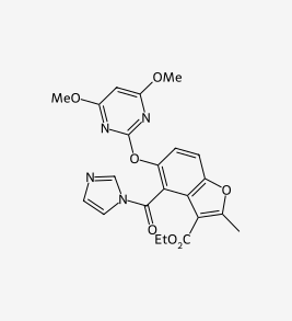 CCOC(=O)c1c(C)oc2ccc(Oc3nc(OC)cc(OC)n3)c(C(=O)n3ccnc3)c12